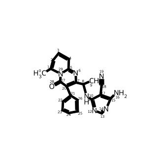 Cc1cccc2nc(C(C)Nc3ncnc(N)c3C#N)c(-c3ccccc3)c(=O)n12